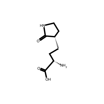 N[C@@H](CC[C@H]1CCNC1=O)C(=O)O